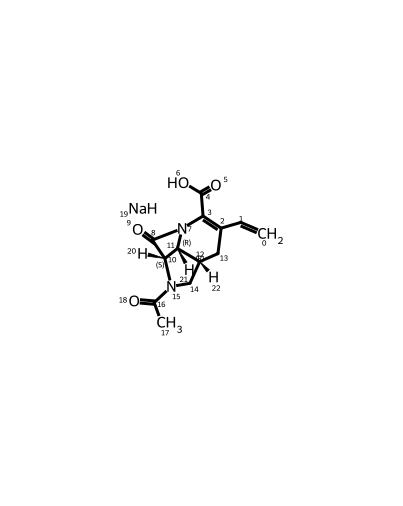 C=CC1=C(C(=O)O)N2C(=O)[C@@H]3[C@H]2[C@H](C1)CN3C(C)=O.[NaH]